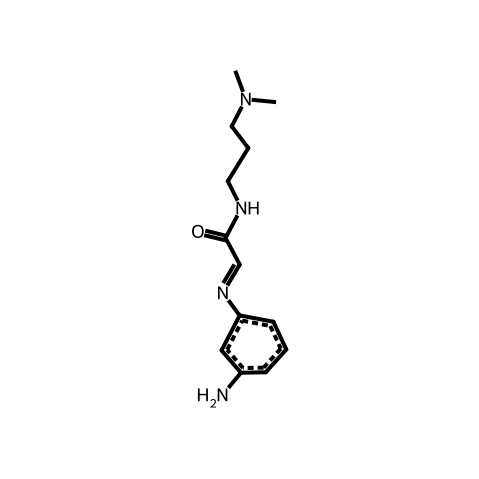 CN(C)CCCNC(=O)C=Nc1cccc(N)c1